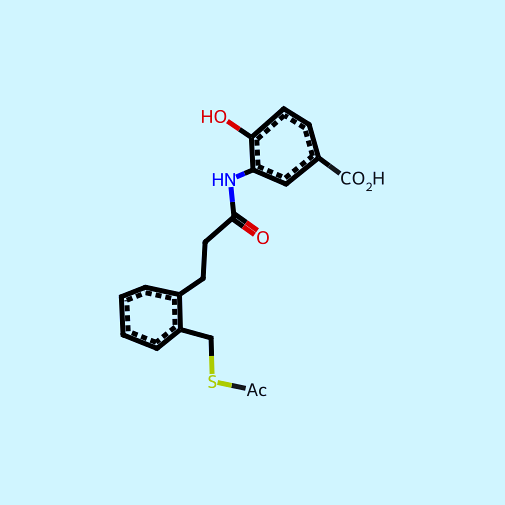 CC(=O)SCc1ccccc1CCC(=O)Nc1cc(C(=O)O)ccc1O